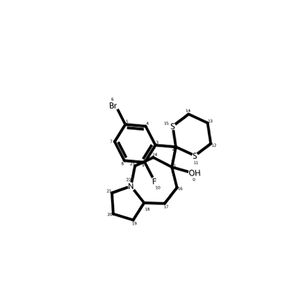 OC1(C2(c3cc(Br)ccc3F)SCCCS2)CCC2CCCN2CC1